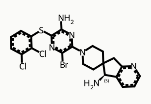 Nc1nc(N2CCC3(CC2)Cc2ncccc2[C@H]3N)c(Br)nc1Sc1cccc(Cl)c1Cl